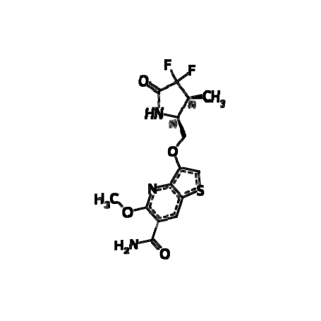 COc1nc2c(OC[C@H]3NC(=O)C(F)(F)[C@H]3C)csc2cc1C(N)=O